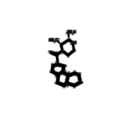 O=C(O)[C@@H]1[C@H](C(=O)O)NCCN1C(=O)c1ccc2ccc3ccccc3c2c1